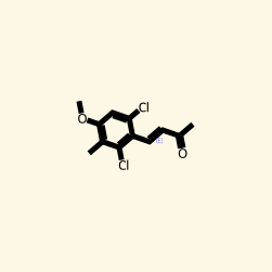 COc1cc(Cl)c(/C=C/C(C)=O)c(Cl)c1C